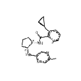 Cc1cnc(N[C@H]2CCC[C@@H]2NC(=O)c2ncccc2C2CC2)cn1